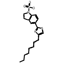 CCCCCCCCc1csc(-c2ccc3c(c2)CCN3S(=O)(=O)Cl)n1